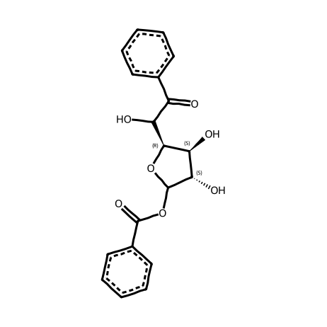 O=C(OC1O[C@@H](C(O)C(=O)c2ccccc2)[C@@H](O)[C@@H]1O)c1ccccc1